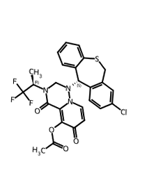 CC(=O)Oc1c2n(ccc1=O)N([C@H]1c3ccc(Cl)cc3CSc3ccccc31)CN([C@H](C)C(F)(F)F)C2=O